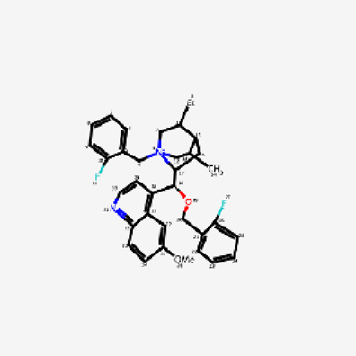 CCC1C[N+]2(Cc3ccccc3F)CC(C)C1CC2[C@@H](OCc1ccccc1F)c1ccnc2ccc(OC)cc12